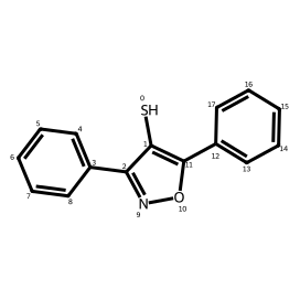 Sc1c(-c2ccccc2)noc1-c1ccccc1